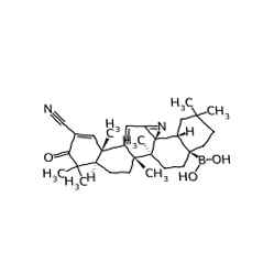 CC1(C)CC[C@]2(B(O)O)CC[C@@]3(C)[C@]4(C)CC[C@H]5C(C)(C)C(=O)C(C#N)=C[C@]5(C)C4=CC4=N[C@]43[C@@H]2C1